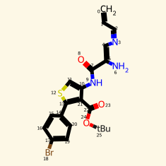 C=C/C=N\C=C(/N)C(=O)Nc1csc(-c2ccc(Br)cc2)c1C(=O)OC(C)(C)C